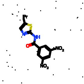 CC(C)c1cnc(NC(=O)c2cc([N+](=O)[O-])cc([N+](=O)[O-])c2)s1